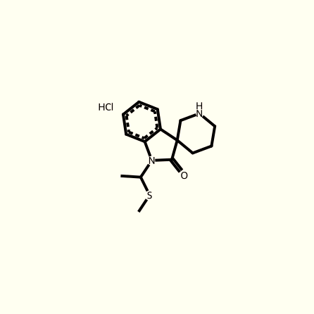 CSC(C)N1C(=O)C2(CCCNC2)c2ccccc21.Cl